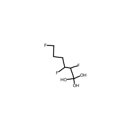 OC(O)(O)C(F)C(F)CCCF